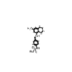 Cc1cc2c(c(NCc3ccc(NS(=O)(=O)C(C)(C)C)cc3)c1)CCCC2